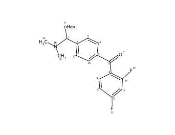 CCCCCCC(c1ccc(C(=O)c2ccc(F)cc2F)cc1)N(C)C